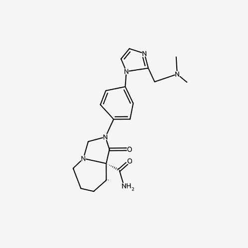 CN(C)Cc1nccn1-c1ccc(N2CN3CCC[CH][C@]3(C(N)=O)C2=O)cc1